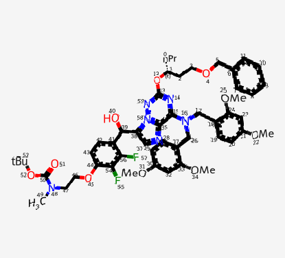 CCC[C@H](CCOCc1ccccc1)Oc1nc(N(Cc2ccc(OC)cc2OC)Cc2ccc(OC)cc2OC)c2ncc(C(O)c3ccc(OCCN(C)C(=O)OC(C)(C)C)c(F)c3F)n2n1